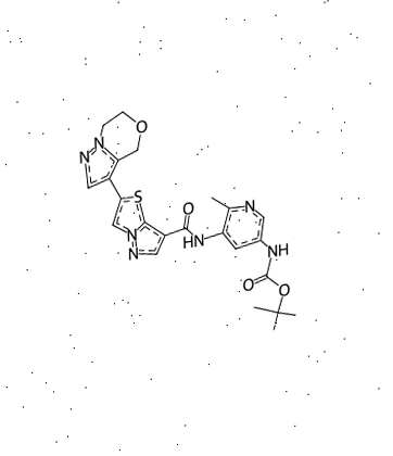 Cc1ncc(NC(=O)OC(C)(C)C)cc1NC(=O)c1cnn2cc(-c3cnn4c3COCC4)sc12